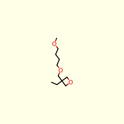 CCC1(COCCCCOC)COC1